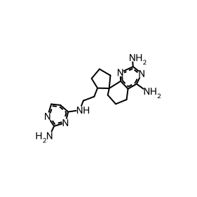 Nc1nccc(NCCC2CCCC23CCCc2c(N)nc(N)nc23)n1